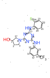 OC1CCN(c2nc(Nc3cccc(C(F)(F)F)c3)nc(Nc3ccccc3F)n2)C1